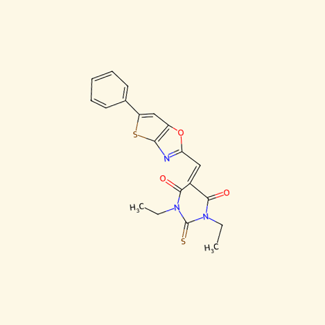 CCN1C(=O)C(=Cc2nc3sc(-c4ccccc4)cc3o2)C(=O)N(CC)C1=S